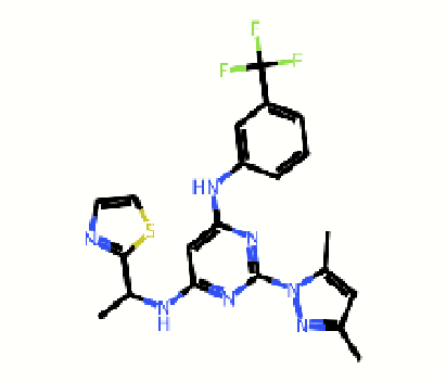 Cc1cc(C)n(-c2nc(Nc3cccc(C(F)(F)F)c3)cc(NC(C)c3nccs3)n2)n1